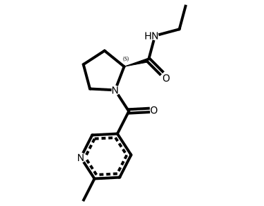 CCNC(=O)[C@@H]1CCCN1C(=O)c1ccc(C)nc1